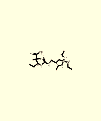 CCO[Si](CCCNC(=O)OC(CC)C(F)(F)C(=O)O)(OCC)OCC